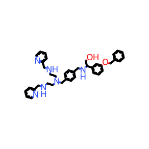 OCC(NCc1ccc(CN(CCNCc2ccccn2)CCNCc2ccccn2)cc1)c1cccc(OCc2ccccc2)c1